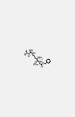 B#P(F)NC(=N)NCCC[C@@H](N)C(=O)N[C@@H](CC(C)C)C(=O)OCc1ccccc1